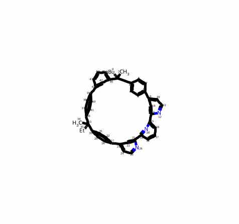 CCCCC1(C)c2ccc(cc2)-c2ccnc(c2)-c2cccc(n2)-c2cc(ccn2)-c2ccc(cc2)C(C)(CC)c2ccc(cc2)-c2cccc1c2